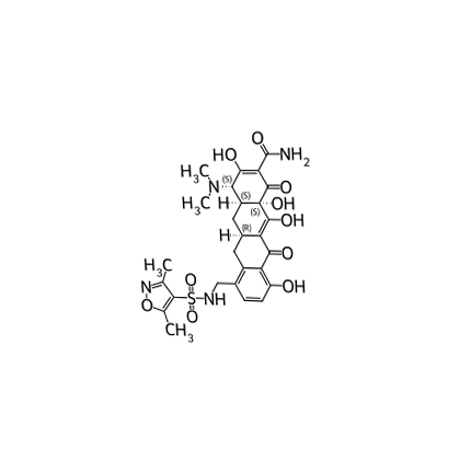 Cc1noc(C)c1S(=O)(=O)NCc1ccc(O)c2c1C[C@H]1C[C@H]3[C@H](N(C)C)C(O)=C(C(N)=O)C(=O)[C@@]3(O)C(O)=C1C2=O